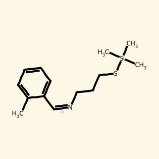 Cc1ccccc1/C=N\CCCS[Si](C)(C)C